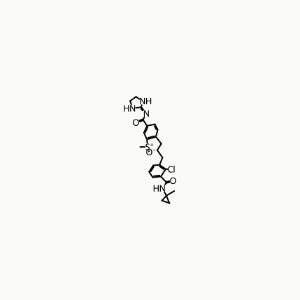 C[S+]([O-])c1cc(C(=O)N=C2NCCN2)ccc1CCCc1cccc(C(=O)NC2(C)CC2)c1Cl